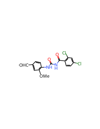 COc1cc([C]=O)ccc1NC(=O)NC(=O)c1ccc(Cl)cc1Cl